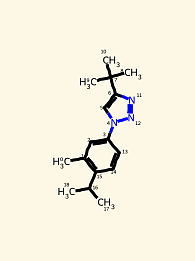 Cc1cc(-n2cc(C(C)(C)C)nn2)ccc1C(C)C